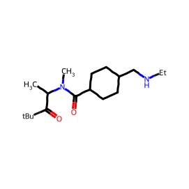 CCNCC1CCC(C(=O)N(C)C(C)C(=O)C(C)(C)C)CC1